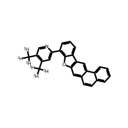 [2H]C([2H])([2H])c1cnc(-c2cccc3c2oc2cc4ccc5ccccc5c4cc23)cc1C([2H])([2H])[2H]